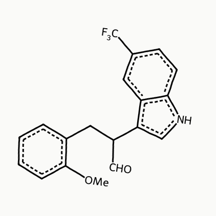 COc1ccccc1CC(C=O)c1c[nH]c2ccc(C(F)(F)F)cc12